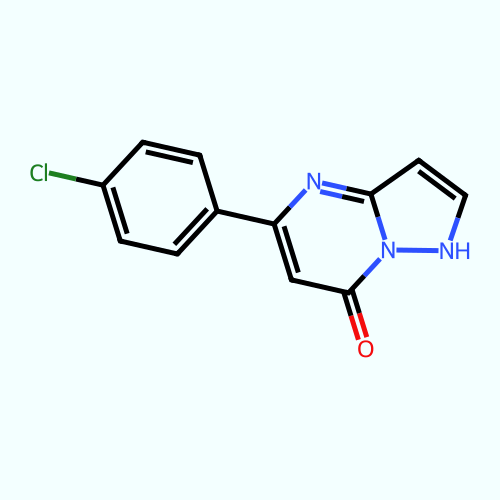 O=c1cc(-c2ccc(Cl)cc2)nc2cc[nH]n12